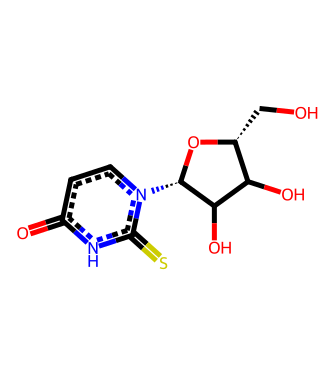 O=c1ccn([C@@H]2O[C@H](CO)C(O)C2O)c(=S)[nH]1